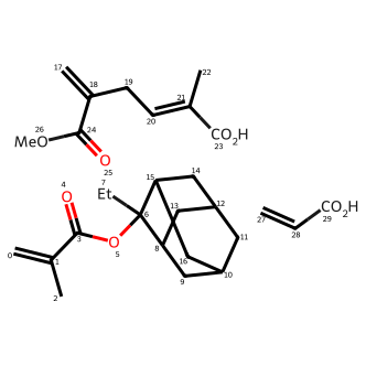 C=C(C)C(=O)OC1(CC)C2CC3CC(C2)CC1C3.C=C(CC=C(C)C(=O)O)C(=O)OC.C=CC(=O)O